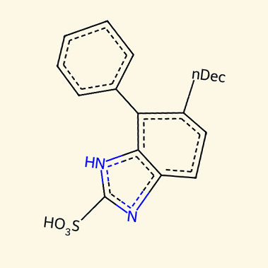 CCCCCCCCCCc1ccc2nc(S(=O)(=O)O)[nH]c2c1-c1ccccc1